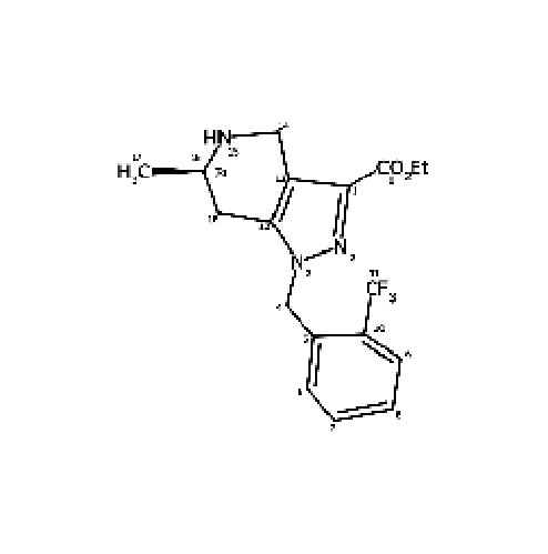 CCOC(=O)c1nn(Cc2ccccc2C(F)(F)F)c2c1CN[C@H](C)C2